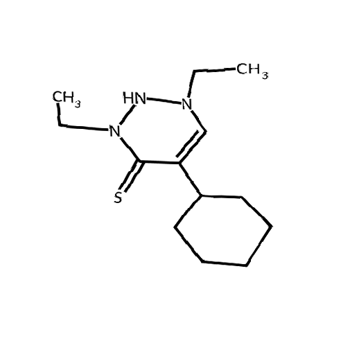 CCN1C=C(C2CCCCC2)C(=S)N(CC)N1